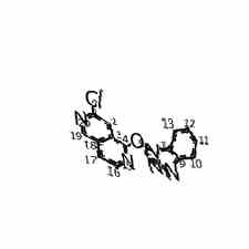 Clc1cc2c(On3nnc4ccccc43)nccc2cn1